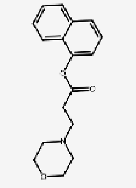 O=C(CCN1CCOCC1)Oc1cccc2ccccc12